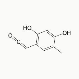 Cc1cc(C=C=O)c(O)cc1O